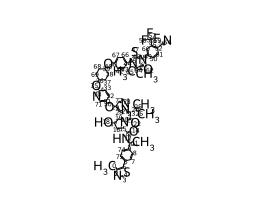 Cc1ncsc1-c1ccc([C@H](C)NC(=O)[C@@H]2C[C@@H](O)CN2C(=O)[C@@H](C(C)C)n2cc(Oc3ccc(OC4CCC(Oc5ccc(N6C(=S)N(c7ccc(C#N)c(C(F)(F)F)c7)C(=O)C6(C)C)cc5)CC4)nc3)cn2)cc1